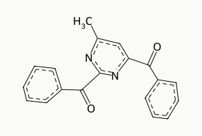 Cc1cc(C(=O)c2ccccc2)nc(C(=O)c2ccccc2)n1